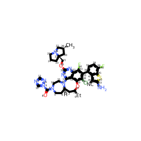 CCC1C[C@H]2CCN(C(=O)n3cncn3)CCN2c2nc(OC[C@@]34CCCN3C[C@H](C)C4)nc3c(F)c(-c4ccc(F)c5sc(N)c(C#N)c45)c(Cl)c(c23)O1